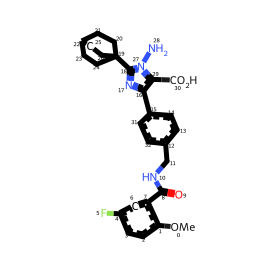 COc1ccc(F)cc1C(=O)NCc1ccc(-c2nc(C34CCC(CC3)CC4)n(N)c2C(=O)O)cc1